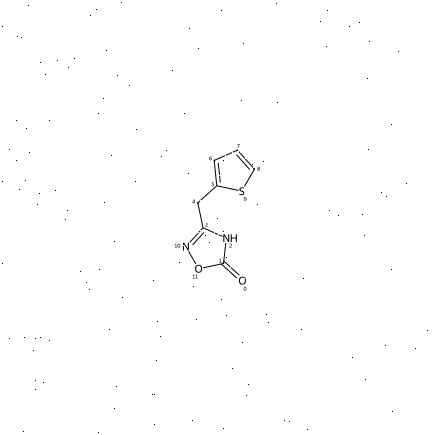 O=c1[nH]c(Cc2cccs2)no1